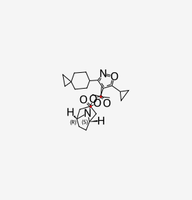 CC(C)(C)OC(=O)N1[C@@H]2CC[C@H]1CC(OC(=O)c1c(C3CCC4(CC3)CC4)noc1C1CC1)C2